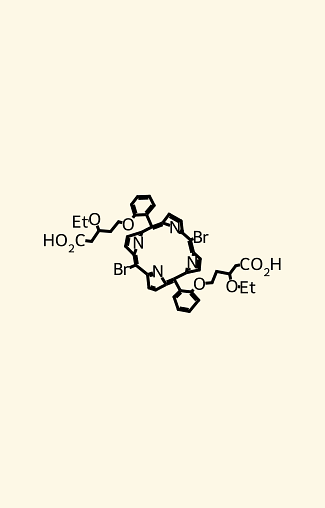 CCOC(CCOc1ccccc1C1=C2C=CC(=N2)C(Br)=C2C=CC(=N2)C(c2ccccc2OCCC(CC(=O)O)OCC)=C2C=CC(=N2)C(Br)=C2C=CC1=N2)CC(=O)O